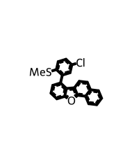 CSc1ccc(Cl)cc1-c1cccc2oc3c4ccccc4ccc3c12